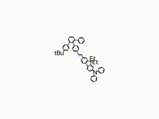 CCC1(CC)c2cc(/C=C/c3ccc(-c4c(-c5ccccc5)cccc4-c4ccc(C(C)(C)C)cc4)cc3)ccc2-c2ccc(N(c3ccccc3)c3ccccc3)cc21